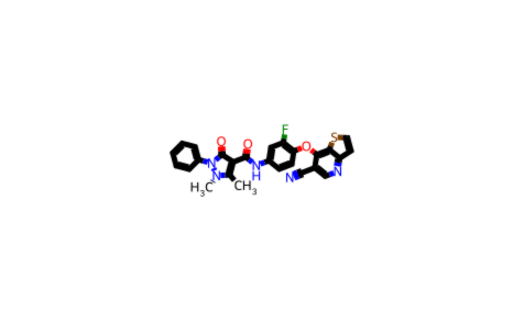 Cc1c(C(=O)Nc2ccc(Oc3c(C#N)cnc4ccsc34)c(F)c2)c(=O)n(-c2ccccc2)n1C